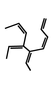 C=C\C=C/C(=C\C)C(/C=C\C)=C\C